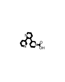 O=C(O)N1C=CC=C(c2cccnc2-c2cccnc2)C1